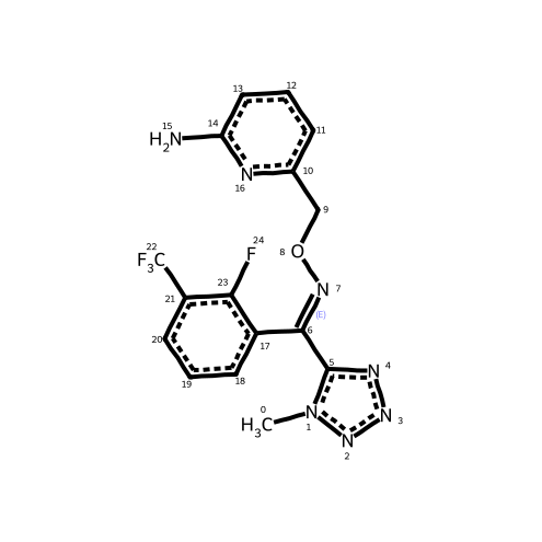 Cn1nnnc1/C(=N/OCc1cccc(N)n1)c1cccc(C(F)(F)F)c1F